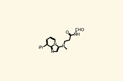 CC(C)c1cccn2c(N(C)CCC(=O)NC=O)cnc12